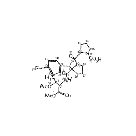 COC(=O)C(NC(=O)C1(Cc2ccc(F)cc2)CCCN1C(=O)C1CCCN1C(=O)O)C(C)OC(C)=O